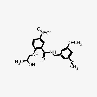 COc1cc(CNC(=O)c2cc([N+](=O)[O-])ccc2NCC(C)O)cc(OC)c1